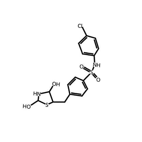 O=S(=O)(Nc1ccc(Cl)cc1)c1ccc(CC2SC(O)NC2O)cc1